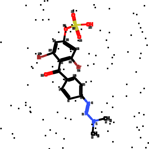 CN(C)N=Nc1ccc(C(=O)c2c(Br)cc(OS(=O)(=O)O)cc2Br)cc1